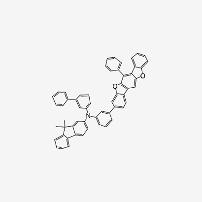 CC1(C)c2ccccc2-c2ccc(N(c3cccc(-c4ccccc4)c3)c3cccc(-c4ccc5c(c4)oc4c(-c6ccccc6)c6c(cc45)oc4ccccc46)c3)cc21